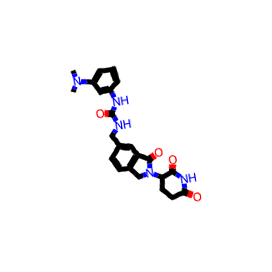 CN(C)c1cccc(NC(=O)NCc2ccc3c(c2)C(=O)N(C2CCC(=O)NC2=O)C3)c1